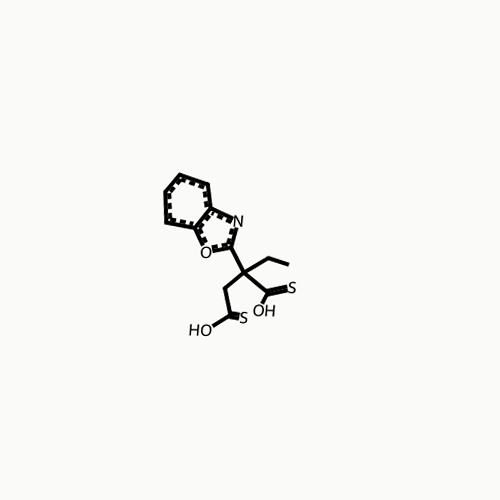 CCC(CC(O)=S)(C(O)=S)c1nc2ccccc2o1